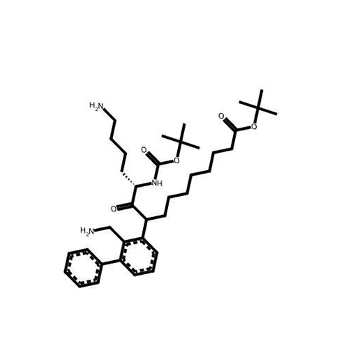 CC(C)(C)OC(=O)CCCCCCCC(C(=O)[C@H](CCCCN)NC(=O)OC(C)(C)C)c1cccc(-c2ccccc2)c1CN